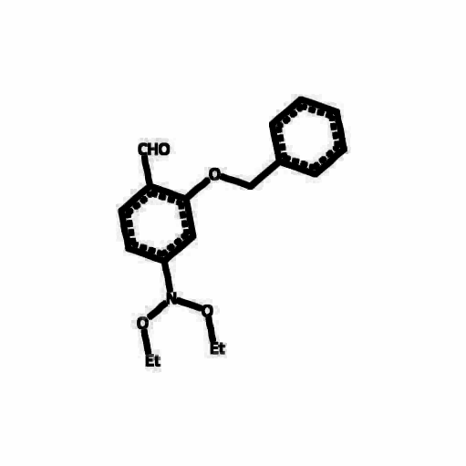 CCON(OCC)c1ccc(C=O)c(OCc2ccccc2)c1